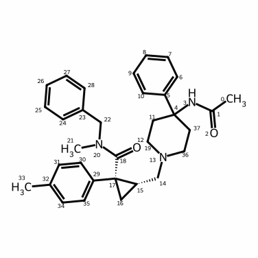 CC(=O)NC1(c2ccccc2)CCN(C[C@@H]2C[C@@]2(C(=O)N(C)Cc2ccccc2)c2ccc(C)cc2)CC1